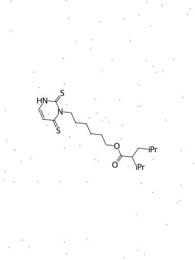 CC(C)CC(C(=O)OCCCCCCn1c(=S)cc[nH]c1=S)C(C)C